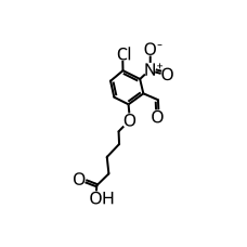 O=Cc1c(OCCCCC(=O)O)ccc(Cl)c1[N+](=O)[O-]